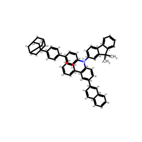 CC1(C)c2ccccc2-c2ccc(N(c3ccc(-c4ccc(C56CC7CC(CC(C7)C5)C6)cc4)cc3)c3ccc(-c4ccc5ccccc5c4)cc3-c3ccccc3)cc21